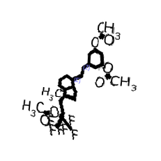 CC(=O)OC1C/C(=C/C=C2\CCC[C@]3(C)C(CCC(OC(C)=O)(C(F)(F)F)C(F)(F)F)=CCC23)C[C@@H](OC(C)=O)C1